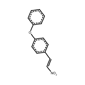 O=[N+]([O-])C=Cc1ccc(Oc2ccccc2)cc1